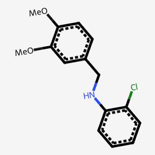 COc1ccc(CNc2ccccc2Cl)cc1OC